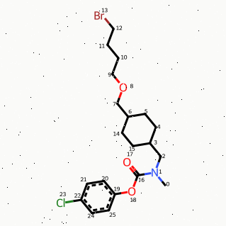 CN(CC1CCC(COCCCCBr)CC1)C(=O)Oc1ccc(Cl)cc1